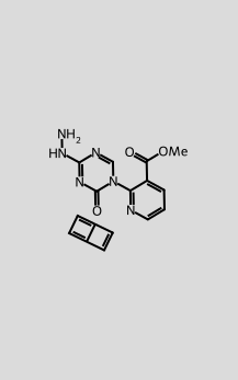 COC(=O)c1cccnc1-n1cnc(NN)nc1=O.c1cc2ccc1-2